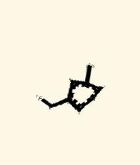 [CH2]c1cccc(CF)c1